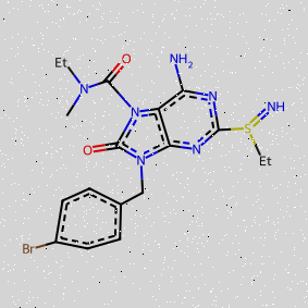 CCN(C)C(=O)n1c(=O)n(Cc2ccc(Br)cc2)c2nc(S(=N)CC)nc(N)c21